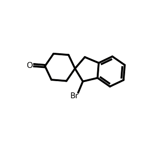 O=C1CCC2(CC1)Cc1ccccc1C2Br